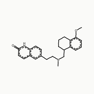 COc1cccc2c1CCCC2CN(C)CCc1ccc2[nH]c(=O)ccc2c1